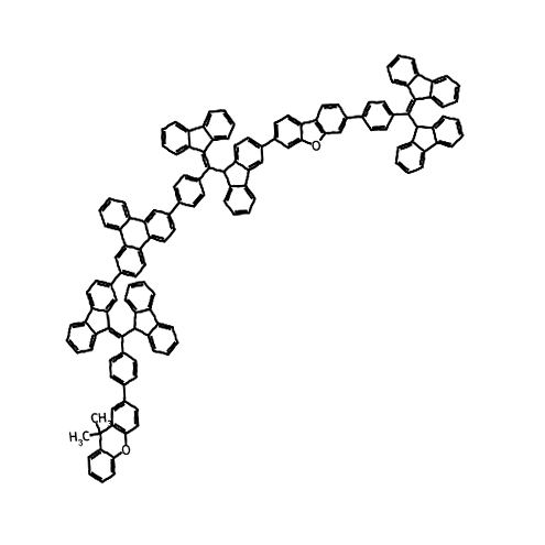 CC1(C)c2ccccc2Oc2ccc(-c3ccc(/C(=C4\c5ccccc5-c5ccc(-c6ccc7c8ccc(-c9ccc(C(=C%10c%11ccccc%11-c%11ccccc%11%10)C%10c%11ccccc%11-c%11cc(-c%12ccc%13c(c%12)oc%12cc(-c%14ccc(C(=C%15c%16ccccc%16-c%16ccccc%16%15)C%15c%16ccccc%16-c%16ccccc%16%15)cc%14)ccc%12%13)ccc%11%10)cc9)cc8c8ccccc8c7c6)cc54)C4c5ccccc5-c5ccccc54)cc3)cc21